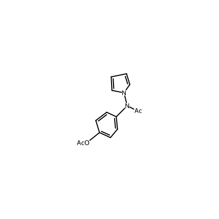 CC(=O)Oc1ccc(N(C(C)=O)n2cccc2)cc1